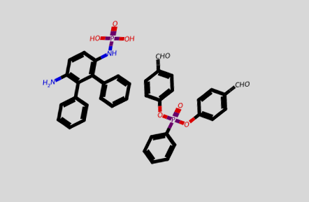 Nc1ccc(NP(=O)(O)O)c(-c2ccccc2)c1-c1ccccc1.O=Cc1ccc(OP(=O)(Oc2ccc(C=O)cc2)c2ccccc2)cc1